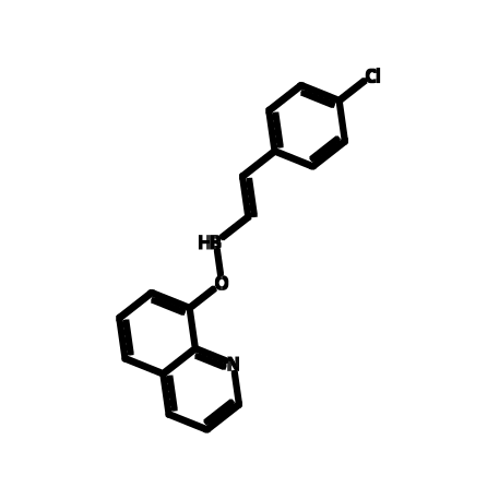 Clc1ccc(C=CBOc2cccc3cccnc23)cc1